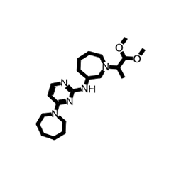 COC(OC)C(C)N1CCCCC(Nc2nccc(N3CCCCCC3)n2)C1